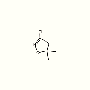 CC1(C)CC(Cl)=NO1